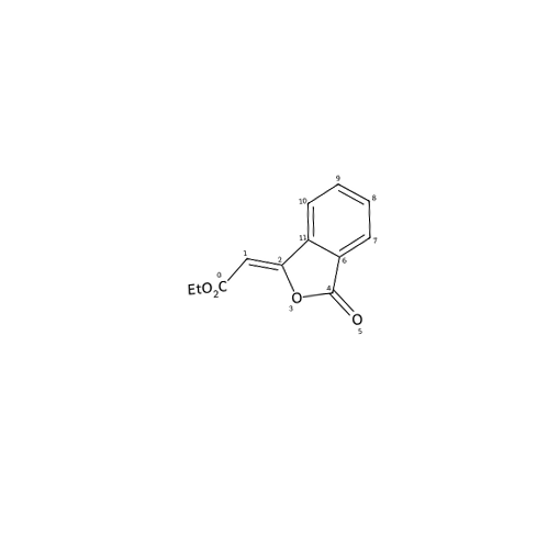 CCOC(=O)C=C1OC(=O)c2ccccc21